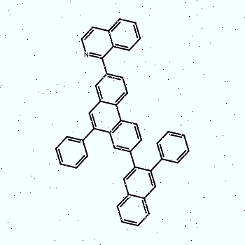 c1ccc(-c2cc3ccccc3cc2-c2ccc3c(c2)c(-c2ccccc2)cc2cc(-c4nccc5ccccc45)ccc23)cc1